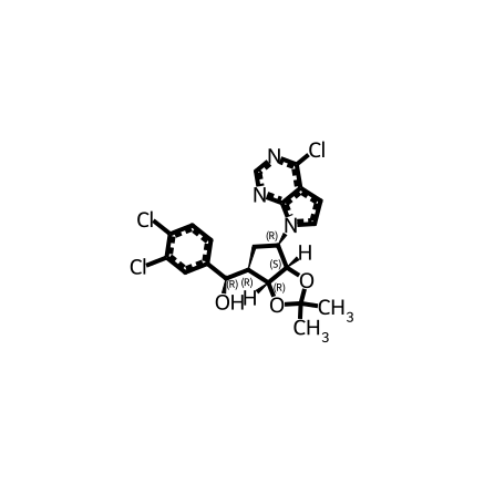 CC1(C)O[C@@H]2[C@@H]([C@@H](O)c3ccc(Cl)c(Cl)c3)C[C@@H](n3ccc4c(Cl)ncnc43)[C@@H]2O1